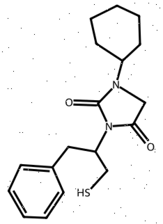 O=C1CN(C2CCCCC2)C(=O)N1C(CS)Cc1ccccc1